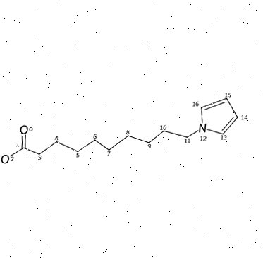 O=C(O)CCCCCCCCCn1cccc1